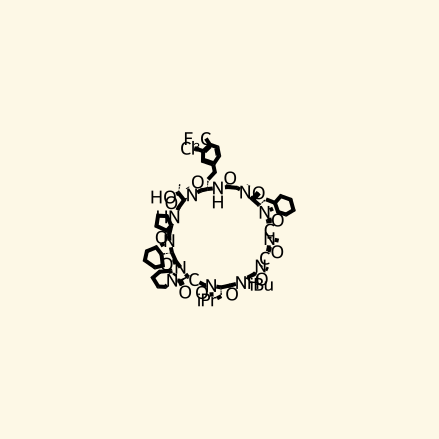 CC[C@H](C)[C@@H]1NC(=O)[C@H](CC(C)C)N(C)C(=O)C[C@@H](C(=O)N2CCCCC2)N(C)C(=O)[C@H](C2CCCCC2)N(C)C(=O)C2(CCCC2)NC(=O)[C@H]([C@@H](C)O)N(C)C(=O)[C@H](CCc2ccc(C(F)(F)F)c(Cl)c2)NC(=O)CN(C)C(=O)[C@H](CC2CCCCC2)N(C)C(=O)CN(C)C(=O)CN(C)C1=O